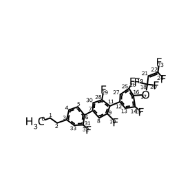 CCCc1ccc(-c2cc(F)c(-c3cc(F)c(OC(F)(F)C=C(F)F)c(F)c3)c(F)c2)c(F)c1